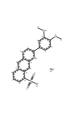 COc1ccc(-c2cnc3cc4cccc(S(=O)(=O)[O-])c4cc3n2)cc1OC.[Na+]